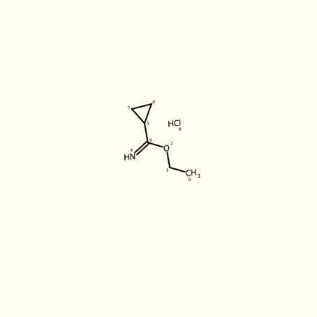 CCOC(=N)C1CC1.Cl